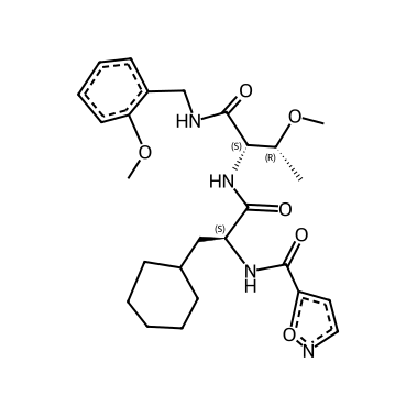 COc1ccccc1CNC(=O)[C@@H](NC(=O)[C@H](CC1CCCCC1)NC(=O)c1ccno1)[C@@H](C)OC